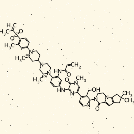 C=CC(=O)Nc1cc(Nc2nc(-c3ccnc(N4CCn5c(cc6c5CC(C)(C)C6)C4=O)c3CO)cn(C)c2=O)ccc1N1CCN(C2CCN(c3ccc(S(=O)(=O)C(C)C)c(C)c3)[C@H](C)C2)C[C@@H]1C